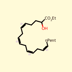 CCCCC/C=C\C/C=C\C/C=C\C/C=C\CCC(O)C(=O)OCC